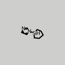 c1cn([SiH]2CCCCC2)cn1